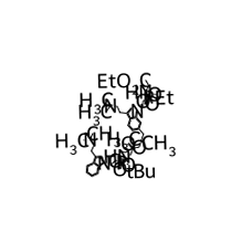 CCOC(=O)CNP(=O)(OCC)OCn1cc(CCN(C)C)c2ccc(CC(C)(C)OC(=O)CNP(=O)(OCn3cc(CCN(C)C)c4ccccc43)OC(C)(C)C)cc21